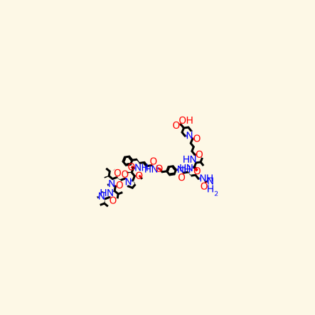 CC[C@H](C)[C@@H]([C@@H](CC(=O)N1CCC[C@H]1[C@H](OC)[C@@H](C)C(=O)N[C@H](/C=C/C(=O)NOCc1ccc(NC(=O)[C@@H](CCCNC(N)=O)NC(=O)[C@H](NC(=O)CCCC(=O)N2CCC(C(=O)O)CC2)C(C)C)cc1)Cc1ccccc1)OC)N(C)C(=O)[C@@H](NC(=O)[C@H](C(C)C)N(C)C)C(C)C